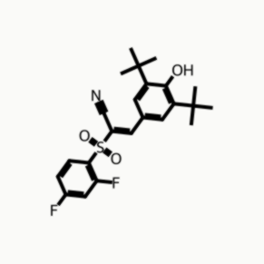 CC(C)(C)c1cc(/C=C(\C#N)S(=O)(=O)c2ccc(F)cc2F)cc(C(C)(C)C)c1O